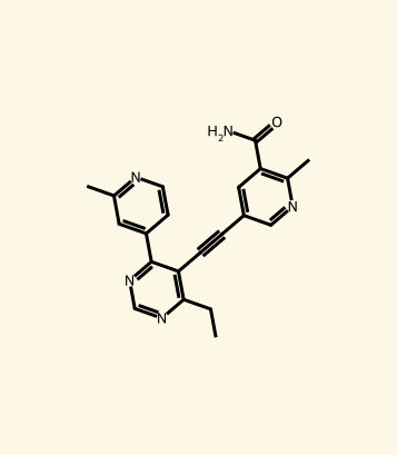 CCc1ncnc(-c2ccnc(C)c2)c1C#Cc1cnc(C)c(C(N)=O)c1